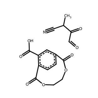 CC(C#N)C(=O)C=O.O=C1OCCOC(=O)c2ccc1cc2C(=O)O